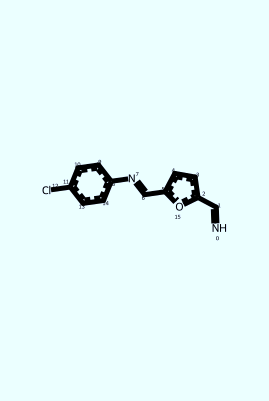 N=Cc1ccc(C=Nc2ccc(Cl)cc2)o1